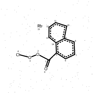 O=C(OOCl)c1cccc2ccccc12.[Rb]